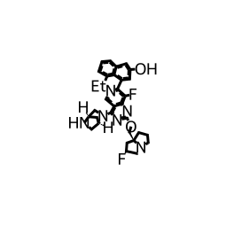 CCc1cccc2cc(O)cc(-c3ncc4c(N5C[C@H]6C[C@@H]5CN6)nc(OC[C@@]56CCCN5C[C@H](F)C6)nc4c3F)c12